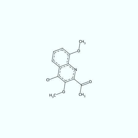 COc1c(C(C)=O)nc2c(OC)cccc2c1Cl